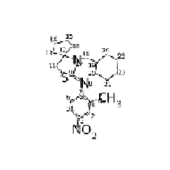 Cc1cc([N+](=O)[O-])ccc1N=C1SCC2(CCCC2)N1CC1CCCCC1